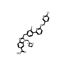 O=C(O)c1ccc2nc(Cc3ccc(-c4cccc(OCc5ccc(Cl)nc5)n4)c(F)c3)n(C[C@@H]3CCO3)c2c1